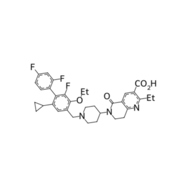 CCOc1c(CN2CCC(N3CCc4nc(CC)c(C(=O)O)cc4C3=O)CC2)cc(C2CC2)c(-c2ccc(F)cc2F)c1F